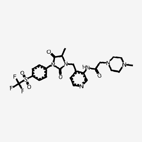 CC1C(=O)N(c2ccc(S(=O)(=O)C(F)(F)F)cc2)C(=O)N1Cc1ccncc1NC(=O)CN1CCN(C)CC1